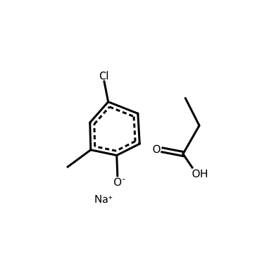 CCC(=O)O.Cc1cc(Cl)ccc1[O-].[Na+]